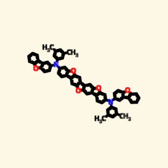 Cc1cc(C)cc(N(c2ccc3c(c2)oc2cc4c(cc23)oc2cc3c(cc24)oc2cc(N(c4cc(C)cc(C)c4)c4ccc5oc6ccccc6c5c4)ccc23)c2ccc3oc4ccccc4c3c2)c1